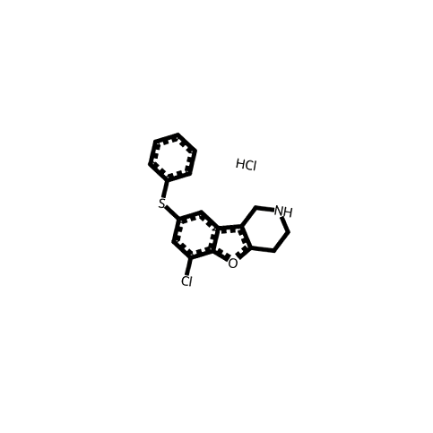 Cl.Clc1cc(Sc2ccccc2)cc2c3c(oc12)CCNC3